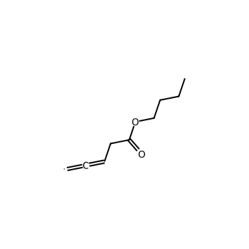 [CH]=C=CCC(=O)OCCCC